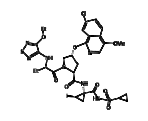 CCOc1nsnc1NC(CC)C(=O)N1C[C@H](Oc2ncc(OC)c3ccc(Cl)cc23)C[C@H]1C(=O)N[C@]1(C(=O)NS(=O)(=O)C2CC2)C[C@H]1I